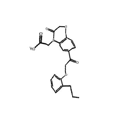 CCCc1ccccc1OCC(=O)c1ccc2c(c1)N(CC(=O)O)C(=O)CO2